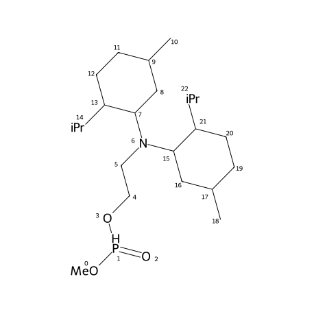 CO[PH](=O)OCCN(C1CC(C)CCC1C(C)C)C1CC(C)CCC1C(C)C